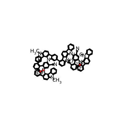 Cn1c2ccccc2c2c1ccc1c3ccc(-c4cccc5c4c4ccc6c7ccccc7n(-c7cc(-c8c(C#N)cccc8C(F)(F)F)c(-n8c9ccccc9c9ccc%10c%11ccccc%11n(C)c%10c98)cc7C#N)c6c4n5C)cc3n(-c3cc(-c4c(C#N)cccc4C(F)(F)F)c(-n4c5ccccc5c5ccc6c(c7ccccc7n6C)c54)cc3C#N)c12